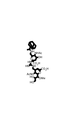 COC(C(O)CO)C1OC(C(=O)O)=CC(CNC(=N)NC2(C(=O)O)CC(O)C(NC(C)=O)C(CNC(C)C34CC5CC(CC(C5)C3)C4)O2)C1NC(C)=O